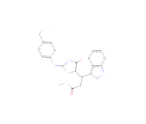 CC(C)(C)OC(=O)CC(=C1SC(Nc2ccc(CC(=O)O)cc2)=NC1=O)c1c[nH]c2ccccc12